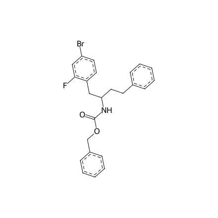 O=C(NC(CCc1ccccc1)Cc1ccc(Br)cc1F)OCc1ccccc1